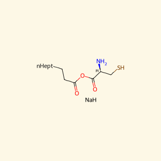 CCCCCCCCCC(=O)OC(=O)[C@@H](N)CS.[NaH]